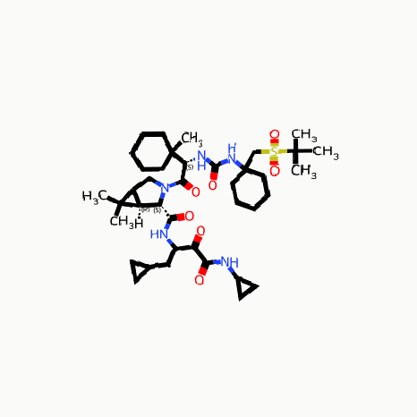 CC1([C@H](NC(=O)NC2(CS(=O)(=O)C(C)(C)C)CCCCC2)C(=O)N2CC3[C@@H]([C@H]2C(=O)NC(CC2CC2)C(=O)C(=O)NC2CC2)C3(C)C)CCCCC1